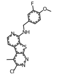 COc1ccc(CNc2nccc3c2sc2nnc(Cl)c(C)c23)cc1F